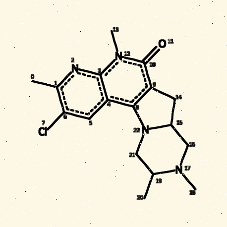 Cc1nc2c(cc1Cl)c1c(c(=O)n2C)CC2CN(C)C(C)CN12